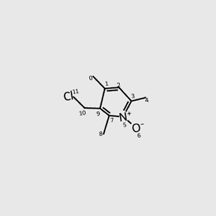 Cc1cc(C)[n+]([O-])c(C)c1CCl